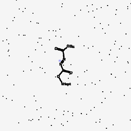 CCCCCCCOC(=O)/N=N/C(=O)OCC(C)C